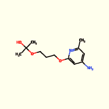 Cc1cc(N)cc(OCCCOC(C)(C)O)n1